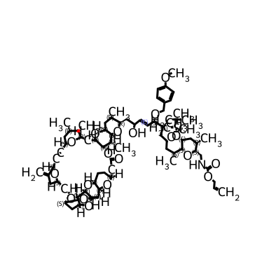 C=CCOC(=O)NC[C@H]1O[C@@H]([C@@H](C)CC(=O)C[C@H](C)[C@@H](/C=C/C(O)C[C@H]2O[C@H]3[C@H](C)[C@H]4OC(=O)C[C@H]5CC[C@@H]6O[C@@H]7[C@H]8O[C@@H]9C[C@](CC[C@H]%10CC(=C)[C@H](CC[C@H]%11C[C@@H](C)C(=C)[C@@H](C[C@@H]4O[C@H]3C[C@H]2C)O%11)O%10)(O[C@H]8[C@H]6O5)O[C@H]79)OCc2ccc(OC)cc2)[C@@H](O[Si](C)(C)C(C)(C)C)C[C@H]1C